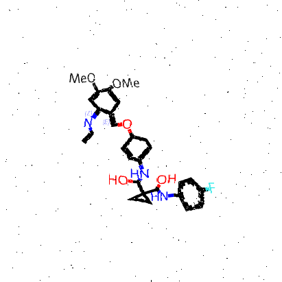 C=C/N=C1/C=C(OC)C(OC)=C/C1=C\OC1C=CC(NC(O)C2(C(O)Nc3ccc(F)cc3)CC2)=CC1